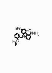 CCCc1c[c]c2c3c(C(N)=O)cccc3n(Cc3ccccc3OC(F)F)c2c1